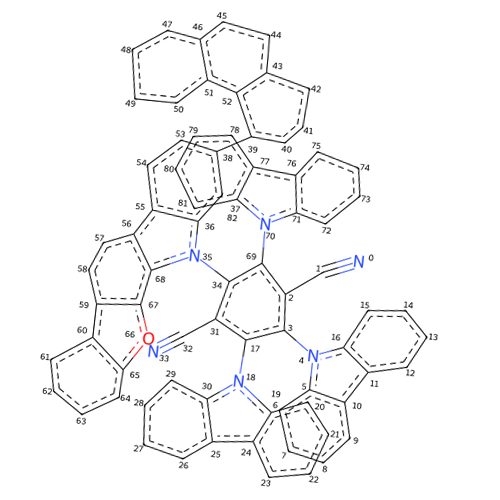 N#Cc1c(-n2c3ccccc3c3ccccc32)c(-n2c3ccccc3c3ccccc32)c(C#N)c(-n2c3cc(-c4cccc5ccc6ccccc6c45)ccc3c3ccc4c5ccccc5oc4c32)c1-n1c2ccccc2c2ccccc21